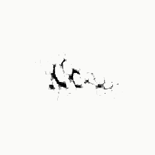 CCc1nc[nH]c1C(=O)N(CCO)C1CCN(C(=O)OC(C)(C)C)CC1